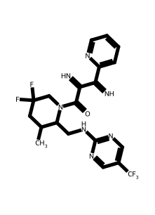 CC1CC(F)(F)CN(C(=O)C(=N)C(=N)c2ccccn2)C1CNc1ncc(C(F)(F)F)cn1